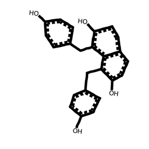 Oc1ccc(Cc2c(O)ccc3ccc(O)c(Cc4ccc(O)cc4)c23)cc1